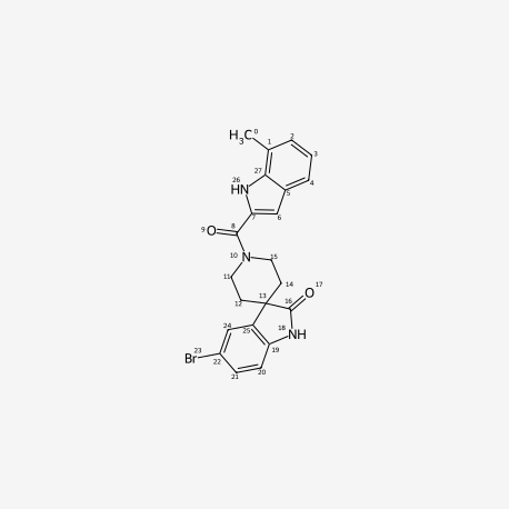 Cc1cccc2cc(C(=O)N3CCC4(CC3)C(=O)Nc3ccc(Br)cc34)[nH]c12